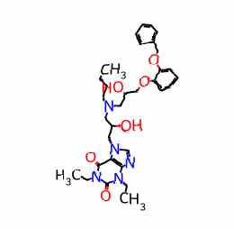 CCCCN(CC(O)COc1ccccc1OCc1ccccc1)CC(O)Cn1cnc2c1c(=O)n(CC)c(=O)n2CC